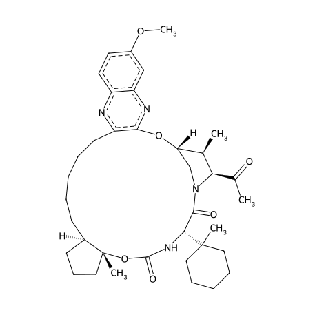 COc1ccc2nc3c(nc2c1)O[C@H]1CN(C(=O)[C@H](C2(C)CCCCC2)NC(=O)O[C@]2(C)CCC[C@H]2CCCCC3)[C@H](C(C)=O)[C@@H]1C